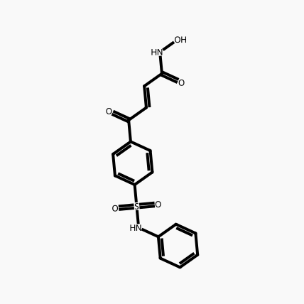 O=C(/C=C/C(=O)c1ccc(S(=O)(=O)Nc2ccccc2)cc1)NO